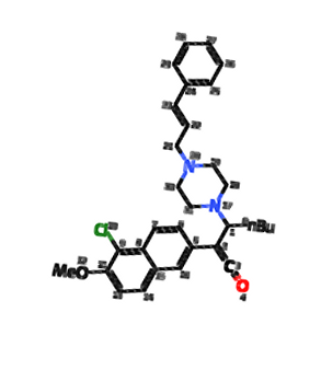 CCCCC(C(=C=O)c1ccc2c(Cl)c(OC)ccc2c1)N1CCN(CC=Cc2ccccc2)CC1